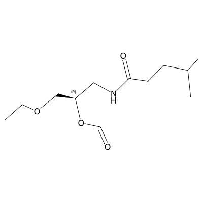 CCOC[C@@H](CNC(=O)CCC(C)C)OC=O